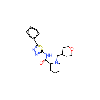 O=C(Nc1nnc(-c2ccccc2)s1)C1CCCCN1CC1CCOCC1